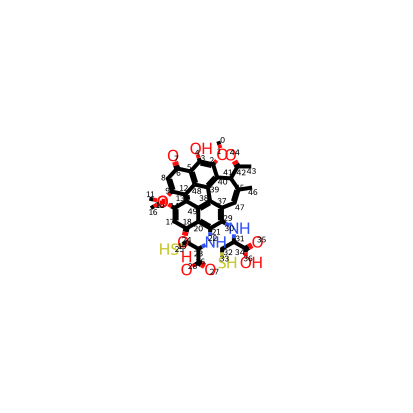 COc1c(O)c2c(=O)cc(OC)c3c4c(OC)cc(=O)c5c(NC(CS)C(=O)O)c(NC(CS)C(=O)O)c6c(c(c1C(C(C)=O)C(C)=C6)c23)c54